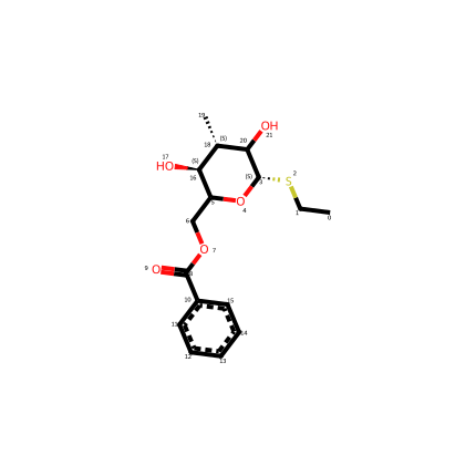 CCS[C@@H]1OC(COC(=O)c2ccccc2)[C@@H](O)[C@H](C)C1O